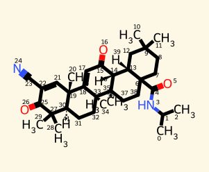 CC(C)NC(=O)C12CCC(C)(C)C[C@H]1[C@H]1C(=O)C=C3[C@@]4(C)C=C(C#N)C(=O)C(C)(C)[C@@H]4CC[C@@]3(C)[C@]1(C)CC2